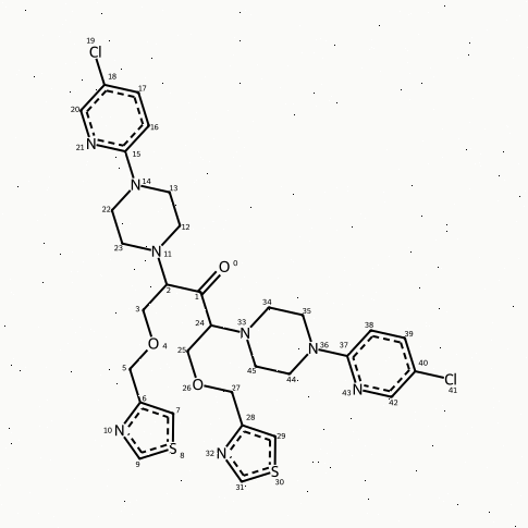 O=C(C(COCc1cscn1)N1CCN(c2ccc(Cl)cn2)CC1)C(COCc1cscn1)N1CCN(c2ccc(Cl)cn2)CC1